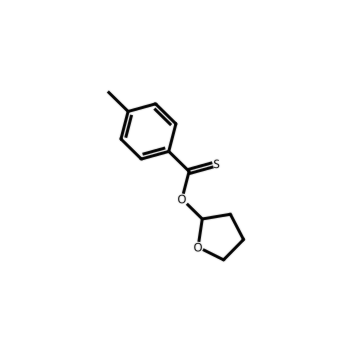 Cc1ccc(C(=S)OC2CCCO2)cc1